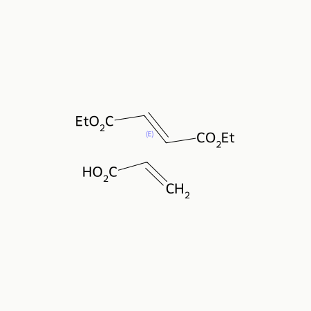 C=CC(=O)O.CCOC(=O)/C=C/C(=O)OCC